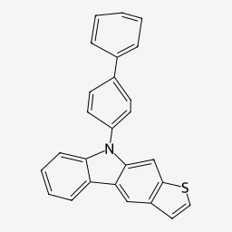 c1ccc(-c2ccc(-n3c4ccccc4c4cc5ccsc5cc43)cc2)cc1